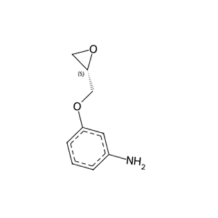 Nc1cccc(OC[C@@H]2CO2)c1